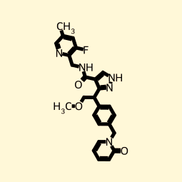 COCC(c1ccc(Cn2ccccc2=O)cc1)c1n[nH]cc1C(=O)NCc1ncc(C)cc1F